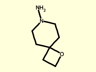 NN1CCC2(CCO2)CC1